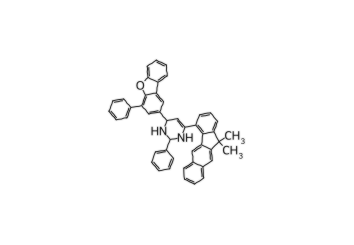 CC1(C)c2cc3ccccc3cc2-c2c(C3=CC(c4cc(-c5ccccc5)c5oc6ccccc6c5c4)NC(c4ccccc4)N3)cccc21